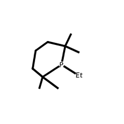 CCP1C(C)(C)CCCC1(C)C